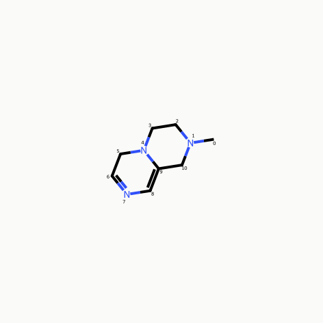 CN1CCN2CC=NC=C2C1